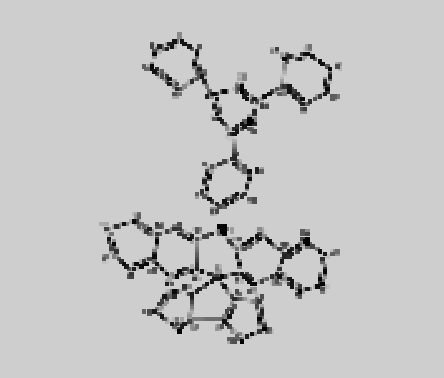 c1ccc(-c2cc(-c3ccc(N4c5cc6ccccc6cc5C5(c6cc7cccnc7cc64)c4ccsc4-c4sccc45)cc3)nc(-c3ccccn3)n2)cc1